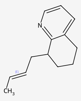 C/C=C/CC1CCCc2cccnc21